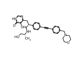 C[C@H](CO)NC[C@@H](Cc1nc[nH]c(=O)c1O)c1ccc(C#Cc2ccc(CN3CCOCC3)cc2)cc1